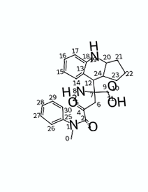 CN(C(=O)C(=O)CC(N)(C(=O)O)C1c2ccccc2NC2CCCC21)c1ccccc1